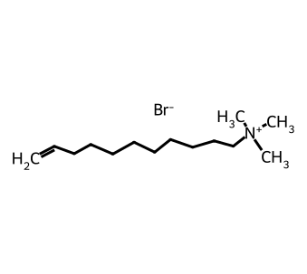 C=CCCCCCCCCC[N+](C)(C)C.[Br-]